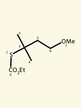 CCOC(=O)SC(C)(C)CCOC